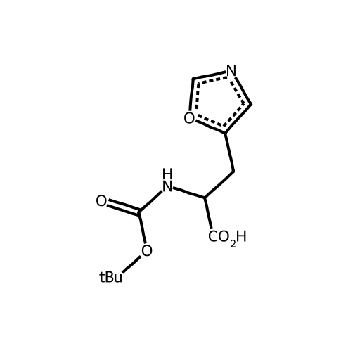 CC(C)(C)OC(=O)NC(Cc1cnco1)C(=O)O